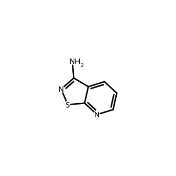 Nc1nsc2ncccc12